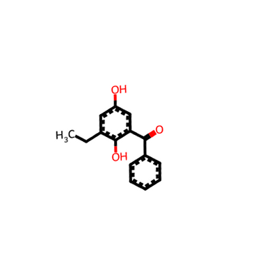 CCc1cc(O)cc(C(=O)c2ccccc2)c1O